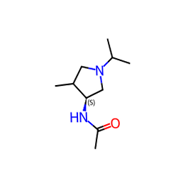 CC(=O)N[C@@H]1CN(C(C)C)CC1C